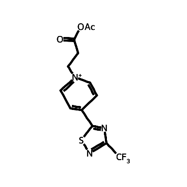 CC(=O)OC(=O)CC[n+]1ccc(-c2nc(C(F)(F)F)ns2)cc1